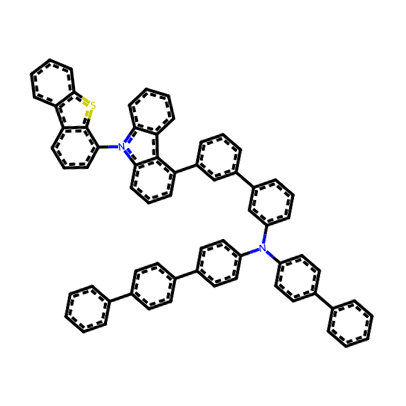 c1ccc(-c2ccc(-c3ccc(N(c4ccc(-c5ccccc5)cc4)c4cccc(-c5cccc(-c6cccc7c6c6ccccc6n7-c6cccc7c6sc6ccccc67)c5)c4)cc3)cc2)cc1